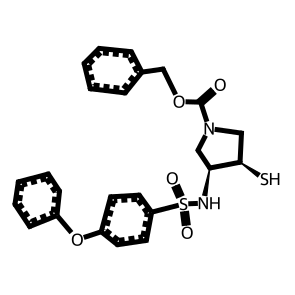 O=C(OCc1ccccc1)N1C[C@@H](S)[C@@H](NS(=O)(=O)c2ccc(Oc3ccccc3)cc2)C1